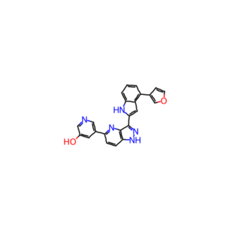 Oc1cncc(-c2ccc3[nH]nc(-c4cc5c(-c6ccoc6)cccc5[nH]4)c3n2)c1